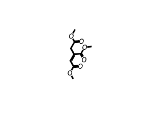 COC(=O)/C=C(/CC(=O)OC)C(=O)OC